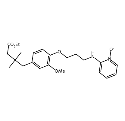 CCOC(=O)CC(C)(C)Cc1ccc(OCCCNc2cccc[n+]2[O-])c(OC)c1